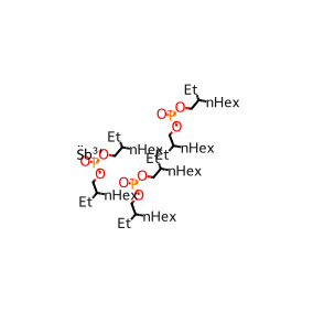 CCCCCCC(CC)COP([O-])OCC(CC)CCCCCC.CCCCCCC(CC)COP([O-])OCC(CC)CCCCCC.CCCCCCC(CC)COP([O-])OCC(CC)CCCCCC.[Sb+3]